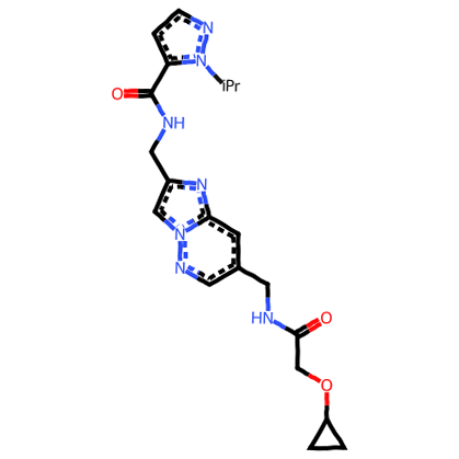 CC(C)n1nccc1C(=O)NCc1cn2ncc(CNC(=O)COC3CC3)cc2n1